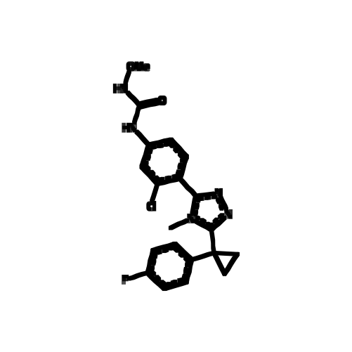 CONC(=O)Nc1ccc(-c2nnc(C3(c4ccc(F)cc4)CC3)n2C)c(Cl)c1